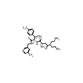 NCCN(CCN)C(=O)C[C@H](N)C(=O)N[C@H](C(=O)NCc1cncc(C(F)(F)F)c1)[C@H](O)c1ccc(C(F)(F)F)cc1